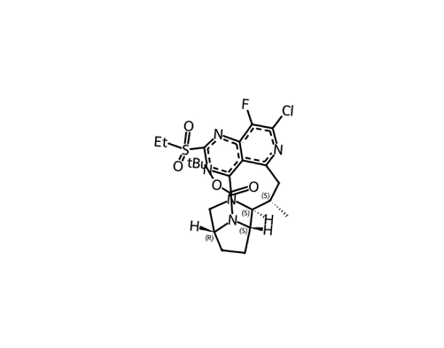 CCS(=O)(=O)c1nc2c3c(nc(Cl)c(F)c3n1)C[C@H](C)[C@H]1[C@@H]3CC[C@H](CN21)N3C(=O)OC(C)(C)C